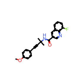 COc1ccc(C#CC(C)(C)NC(=O)c2cnc3c(F)cccc3c2)cc1